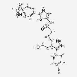 CS(=N)(=O)c1ccc(-c2nnc(NC(=O)CSc3nnc(-c4ccc(F)cc4)n3CCO)s2)cc1